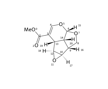 COC(=O)C1=CO[C@@H]2OC[C@@H]3[C@H]4O[C@H]4[C@H]1[C@H]23